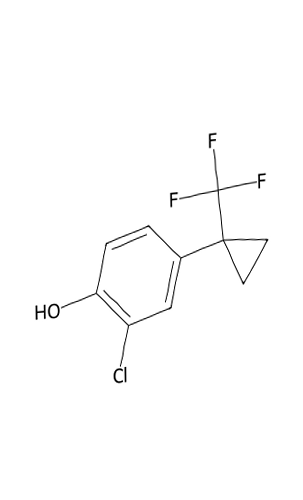 Oc1ccc(C2(C(F)(F)F)CC2)cc1Cl